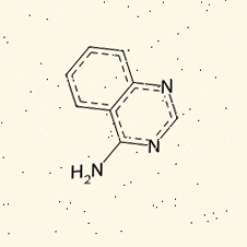 Nc1ncnc2[c]cccc12